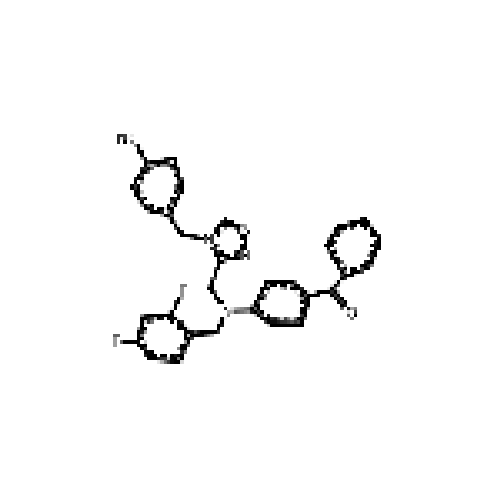 N#Cc1ccc(Cn2cnnc2CN(Cc2ccc(F)cc2F)c2ccc(C(=O)c3ccccc3)cc2)cc1